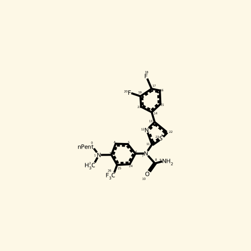 CCCCCN(C)c1ccc(N(C(N)=O)c2nc(-c3ccc(F)c(F)c3)cs2)cc1C(F)(F)F